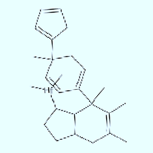 CC1=C(C)C(C)(C2=CCC(C)(C3=CC=CC3)C=C2)C2C(CC[CH]2[Hf]([CH3])[CH3])C1